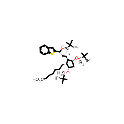 CC(C)C(C)(C)[SiH2]O[C@H]1C[C@@H](O[SiH2]C(C)(C)C(C)C)[C@H](CC[C@@H](O[SiH2]C(C)(C)C(C)C)c2cc3ccccc3s2)[C@H]1CCCCCCC(=O)O